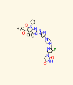 CC(=O)c1c(C)c2cnc(Nc3ccc(N4CCN(Cc5ncc(N6CCC(=O)NC6=O)cc5F)CC4)cn3)nc2n(C2CCCC2)c1=O